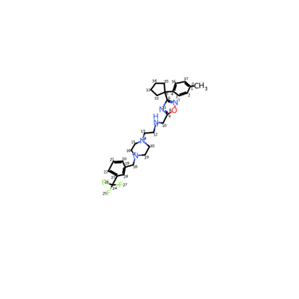 Cc1ccc(C2(c3noc(CNCCN4CCN(Cc5cccc(C(F)(F)F)c5)CC4)n3)CCCC2)cc1